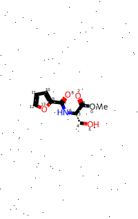 COC(=O)[C@H](CO)NC(=O)c1ccco1